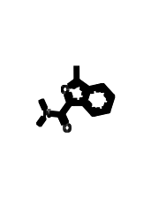 Cc1oc(C(=O)N(C)C)c2ccccc12